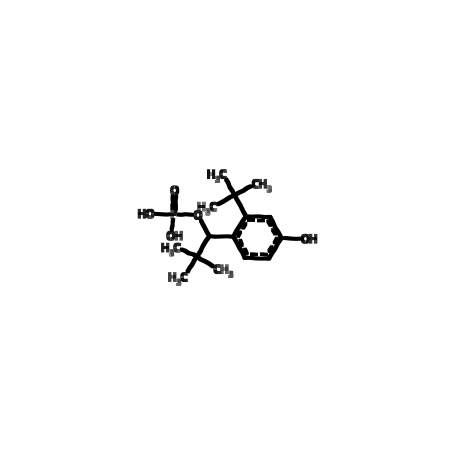 CC(C)(C)c1cc(O)ccc1C(OP(=O)(O)O)C(C)(C)C